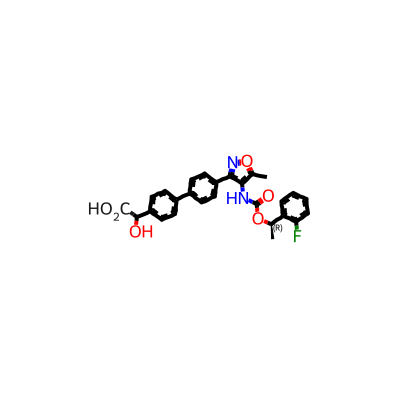 Cc1onc(-c2ccc(-c3ccc(C(O)C(=O)O)cc3)cc2)c1NC(=O)O[C@H](C)c1ccccc1F